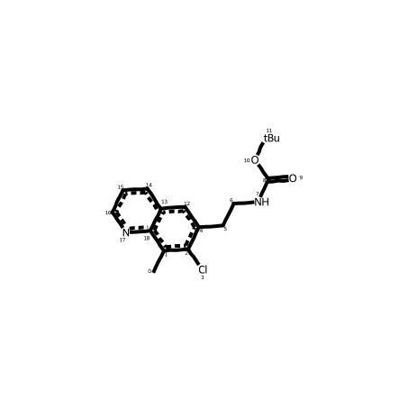 Cc1c(Cl)c(CCNC(=O)OC(C)(C)C)cc2cccnc12